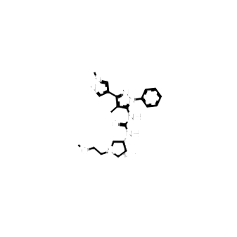 COCCN1C[C@@H](C)[C@H](NC(=O)Nc2c(C)c(-c3cnn(C)c3)nn2-c2ccccc2)C1